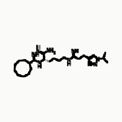 CC(C)n1cc(CCC(=N)NCCCC[C@H](NC(=N)C2CCCCCCCC2)C(=N)N)nn1